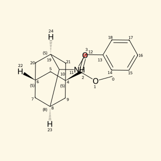 COC(=O)[C@]12C[C@@H]3C[C@H](C1)C(NCc1ccccc1)[C@@H](C3)C2